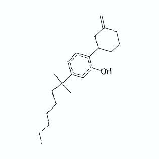 C=C1CCCC(c2ccc(C(C)(C)CCCCCC)cc2O)C1